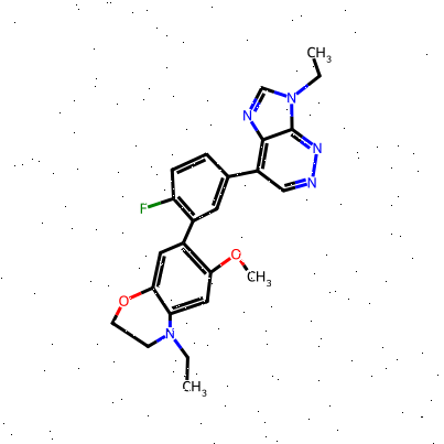 CCN1CCOc2cc(-c3cc(-c4cnnc5c4ncn5CC)ccc3F)c(OC)cc21